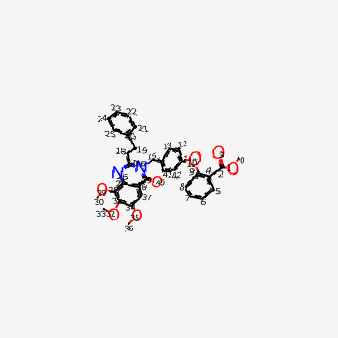 COC(=O)c1ccccc1Oc1ccc(Cn2c(CCc3ccccc3)nc3c(OC)c(OC)c(OC)cc3c2=O)cc1